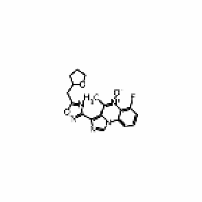 Cc1c2c(-c3noc(CC4CCCO4)n3)ncn2c2cccc(F)c2[n+]1[O-]